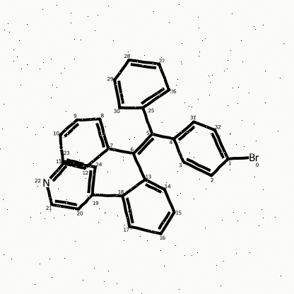 Brc1ccc(C(=C(c2ccccc2)c2ccccc2-c2ccncc2)c2ccccc2)cc1